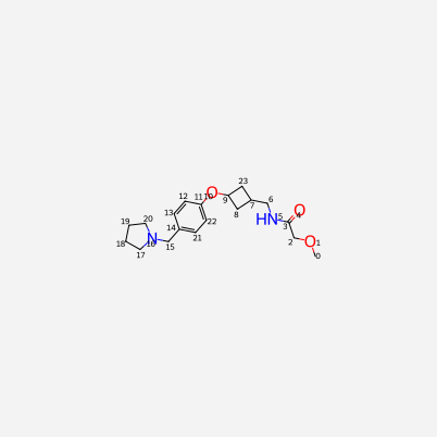 COCC(=O)NCC1CC(Oc2ccc(CN3CCCC3)cc2)C1